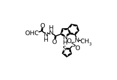 CN(c1cccc2cc(C(=O)NNC(=O)C=O)[nH]c12)S(=O)(=O)c1cccs1